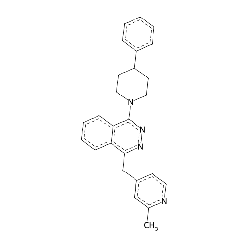 Cc1cc(Cc2nnc(N3CCC(c4ccccc4)CC3)c3ccccc23)ccn1